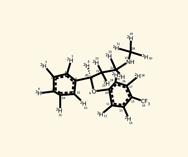 [2H]c1c([2H])c([2H])c([C@]([2H])(Oc2c([2H])c([2H])c(C(F)(F)F)c([2H])c2[2H])C([2H])([2H])C([2H])([2H])NC([2H])([2H])[2H])c([2H])c1[2H]